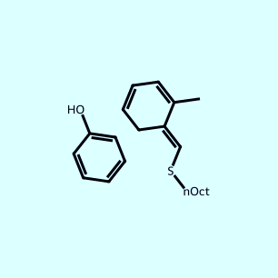 CCCCCCCCSC=C1CC=CC=C1C.Oc1ccccc1